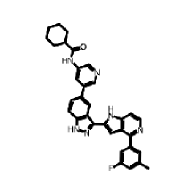 Cc1cc(F)cc(-c2nccc3[nH]c(-c4n[nH]c5ccc(-c6cncc(NC(=O)C7CCCCC7)c6)cc45)cc23)c1